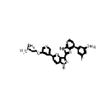 COc1cc(F)cc(-c2ccnc3[nH]c(-c4n[nH]c5ccc(-c6cncc(OCCN(C)C)c6)nc45)nc23)c1